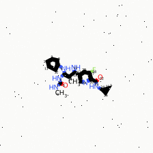 CNC(=O)N/C(Nc1ccccc1)=C(\C)C(=N)c1cnc(C(=O)NC2CC2)c(F)c1